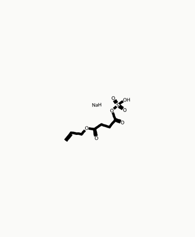 C=CCOC(=O)CCC(=O)OS(=O)(=O)O.[NaH]